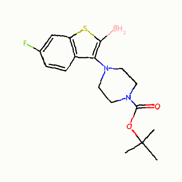 Bc1sc2cc(F)ccc2c1N1CCN(C(=O)OC(C)(C)C)CC1